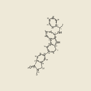 CC(Nc1cccc2c1[nH]c1ccc(-c3ccc4c(c3)CN(C)C4=O)cc12)c1ccccc1